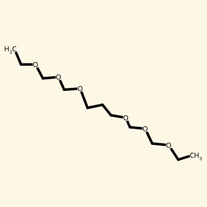 CCOCOCOCCCOCOCOCC